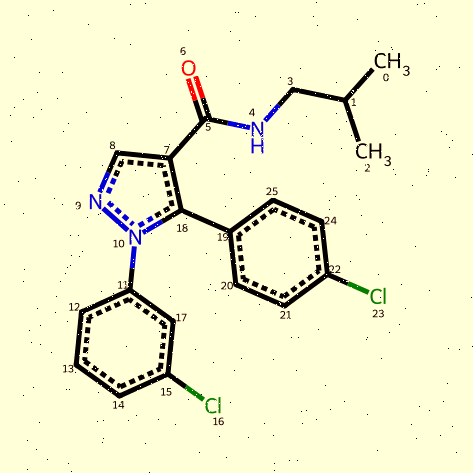 CC(C)CNC(=O)c1cnn(-c2cccc(Cl)c2)c1-c1ccc(Cl)cc1